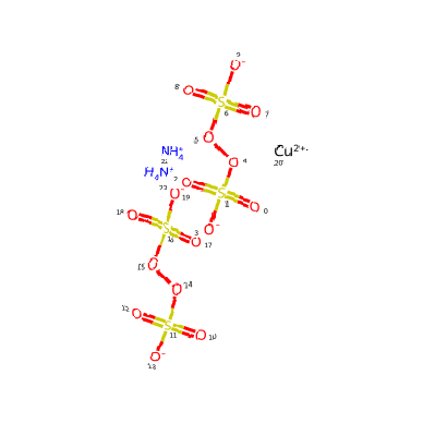 O=S(=O)([O-])OOS(=O)(=O)[O-].O=S(=O)([O-])OOS(=O)(=O)[O-].[Cu+2].[NH4+].[NH4+]